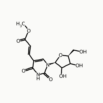 COC(=O)C=Cc1cn([C@H]2O[C@@H](CO)C(O)C2O)c(=O)[nH]c1=O